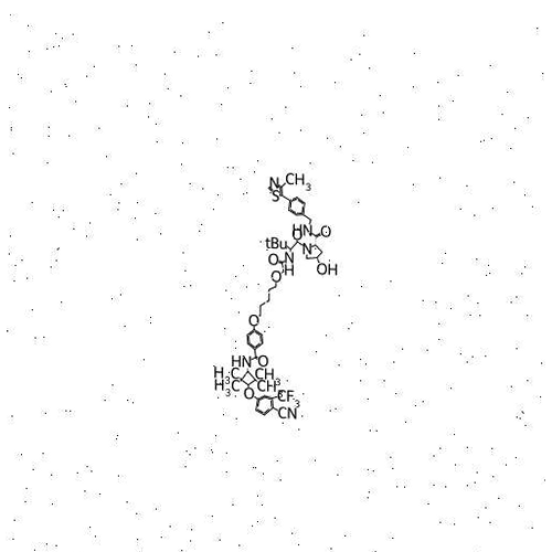 Cc1ncsc1-c1ccc(CNC(=O)[C@@H]2C[C@@H](O)CN2C(=O)C(NC(=O)COCCCCCOc2ccc(C(=O)N[C@H]3C(C)(C)[C@H](Oc4ccc(C#N)c(C(F)(F)F)c4)C3(C)C)cc2)C(C)(C)C)cc1